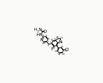 NC(=O)Nc1ccc(Cc2cc3scnc3c(-c3cccc(Cl)c3)c2F)cn1